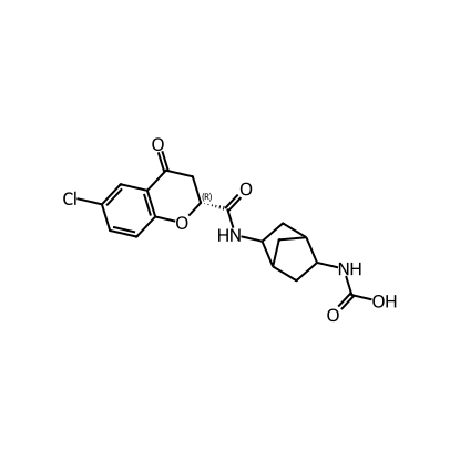 O=C(O)NC1CC2CC1CC2NC(=O)[C@H]1CC(=O)c2cc(Cl)ccc2O1